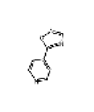 [c]1noc(-c2ccncc2)n1